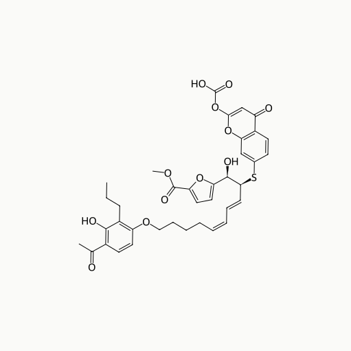 CCCc1c(OCCCC/C=C\C=C\[C@H](Sc2ccc3c(=O)cc(OC(=O)O)oc3c2)[C@H](O)c2ccc(C(=O)OC)o2)ccc(C(C)=O)c1O